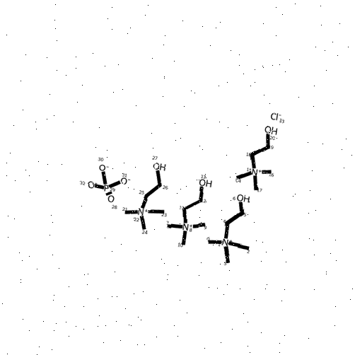 C[N+](C)(C)CCO.C[N+](C)(C)CCO.C[N+](C)(C)CCO.C[N+](C)(C)CCO.O=P([O-])([O-])[O-].[Cl-]